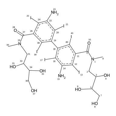 CN(CC(O)C(O)CO)C(=O)c1c(I)c(N)c(I)c(-c2c(I)c(N)c(I)c(C(=O)N(C)CC(O)C(O)CO)c2I)c1I